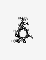 CC(=O)N1C[C@H](C(=O)N[C@H]2CC(=O)NCCCC[C@@H](C(N)=O)NC(=O)[C@H](Cc3c[nH]c4ccccc34)NC(=O)[C@H](CCCNC(=N)N)NC(=O)C(c3ccccc3)NC(=O)[C@H](C)NC2=O)NC(=O)[C@@H]1CCCNC(=N)N